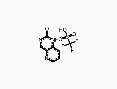 O=S(=O)(O)C(F)(F)F.O=c1ncc2ncccc2[nH]1